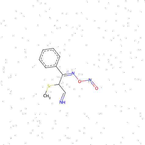 CSC(C=N)/C(=N\ON=O)c1ccccc1